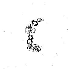 CC(C)(C)OC(=O)N1CCc2cc(NC(=O)Nc3ccc(C(C)(C)C)cc3)ccc2C1